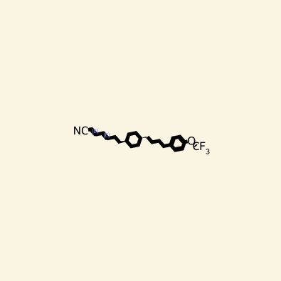 N#C/C=C/C=C/CC[C@H]1CC[C@H](CCCCc2ccc(OC(F)(F)F)cc2)CC1